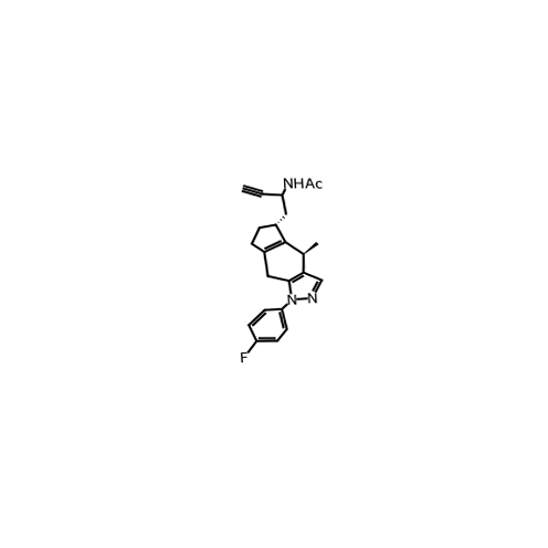 C#CC(C[C@H]1CCC2=C1[C@@H](C)c1cnn(-c3ccc(F)cc3)c1C2)NC(C)=O